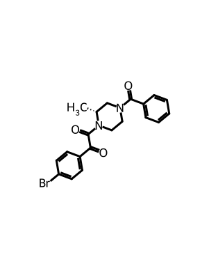 C[C@@H]1CN(C(=O)c2ccccc2)CCN1C(=O)C(=O)c1ccc(Br)cc1